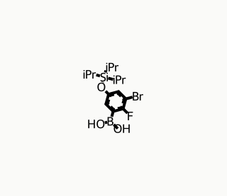 CC(C)[Si](Oc1cc(Br)c(F)c(B(O)O)c1)(C(C)C)C(C)C